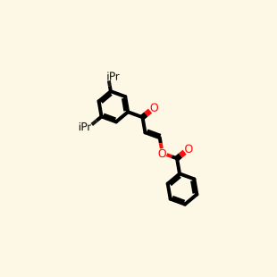 CC(C)c1cc(C(=O)C=COC(=O)c2ccccc2)cc(C(C)C)c1